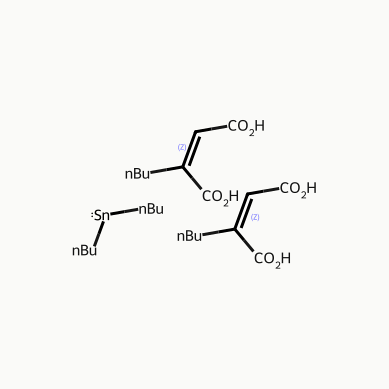 CCCC/C(=C/C(=O)O)C(=O)O.CCCC/C(=C/C(=O)O)C(=O)O.CCC[CH2][Sn][CH2]CCC